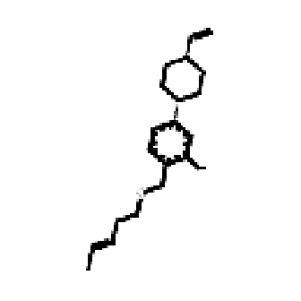 C=C[C@H]1CC[C@H](c2ccc(COCCC=CC)c(F)c2)CC1